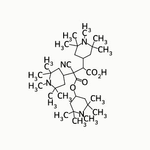 CN1C(C)(C)CC(OC(=O)C(C#N)(C2CC(C)(C)N(C)C(C)(C)C2)C(C(=O)O)C2CC(C)(C)N(C)C(C)(C)C2)CC1(C)C